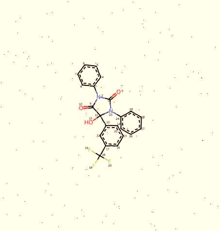 O=C1N(c2ccccc2)C(=O)C(O)(c2cccc(C(F)(F)F)c2)N1c1ccccc1